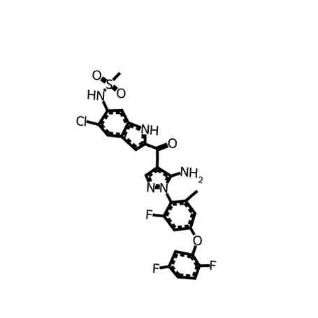 Cc1cc(Oc2cc(F)ccc2F)cc(F)c1-n1ncc(C(=O)c2cc3cc(Cl)c(NS(C)(=O)=O)cc3[nH]2)c1N